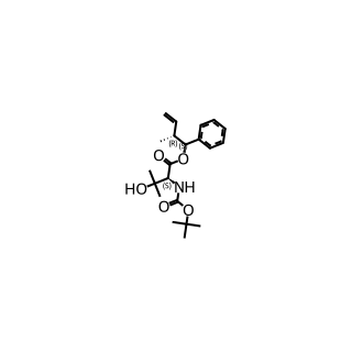 C=C[C@@H](C)[C@H](OC(=O)[C@@H](NC(=O)OC(C)(C)C)C(C)(C)O)c1ccccc1